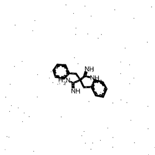 N=C(N)C(Cc1ccccc1)(Cc1ccccc1)C(=N)N